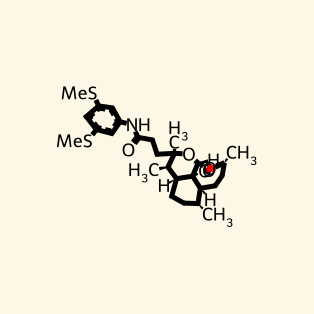 CSc1cc(NC(=O)CC[C@]2(C)O[C@@H]3O[C@]4(C)CC[C@H]5[C@H](C)CC[C@@H]([C@H]2C)[C@@]35OO4)cc(SC)c1